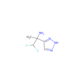 CC(N)(c1cn[nH]n1)C(F)F